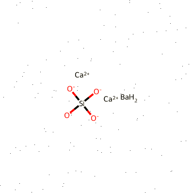 [BaH2].[Ca+2].[Ca+2].[O-][Si]([O-])([O-])[O-]